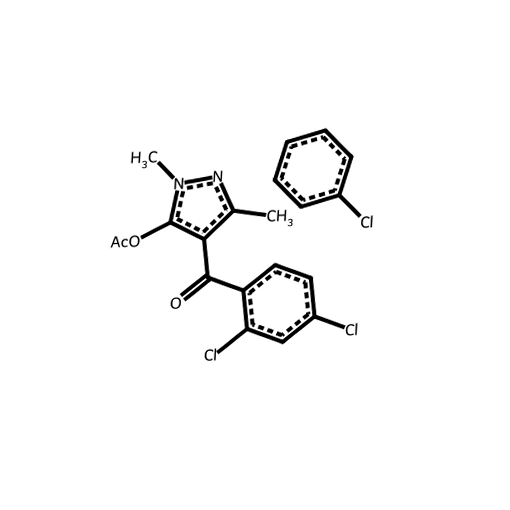 CC(=O)Oc1c(C(=O)c2ccc(Cl)cc2Cl)c(C)nn1C.Clc1ccccc1